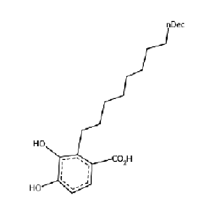 CCCCCCCCCCCCCCCCCCc1c(C(=O)O)ccc(O)c1O